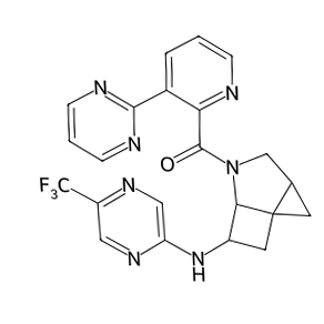 O=C(c1ncccc1-c1ncccn1)N1CC2CC23CC(Nc2cnc(C(F)(F)F)cn2)C13